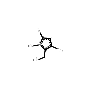 CCc1c(C)cc(F)n1N